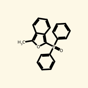 Cc1oc(P(=O)(c2ccccc2)c2ccccc2)c2ccccc12